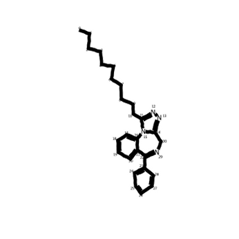 CCCCCCCCCCCc1nnc2n1-c1ccccc1C(c1ccccc1)=NC2